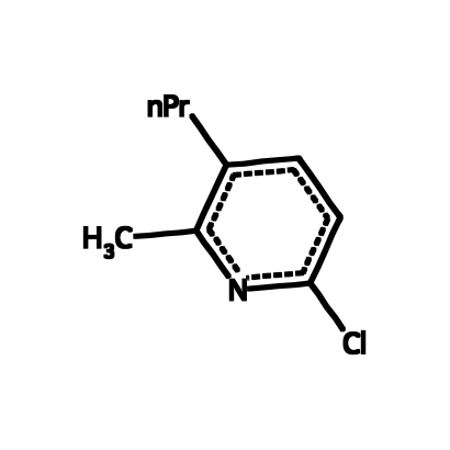 CCCc1ccc(Cl)nc1C